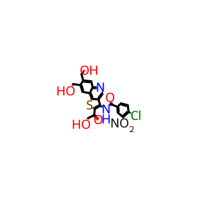 O=C(Nc1c(C(=O)CO)sc2c1cnc1cc(CO)c(CO)cc12)c1ccc(Cl)c([N+](=O)[O-])c1